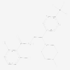 O=C(NCC(c1cnc(C(F)(F)F)nc1)N1CCC(F)CC1)c1c(Cl)cccc1Cl